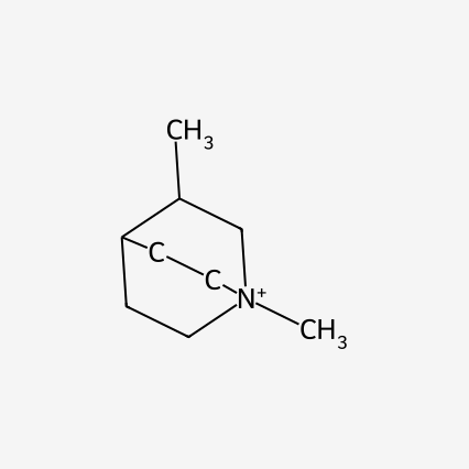 CC1C[N+]2(C)CCC1CC2